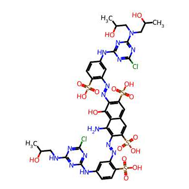 CC(O)CNc1nc(Cl)nc(Nc2ccc(S(=O)(=O)O)c(/N=N/c3c(S(=O)(=O)O)cc4cc(S(=O)(=O)O)c(/N=N/c5cc(Nc6nc(Cl)nc(N(CC(C)O)CC(C)O)n6)ccc5S(=O)(=O)O)c(O)c4c3N)c2)n1